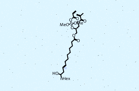 C=CC(=O)O[Si](OC)(OC)OC(COC(=O)CCCCCCC/C=C/CC(O)CCCCCC)COC(=O)C(=C)C